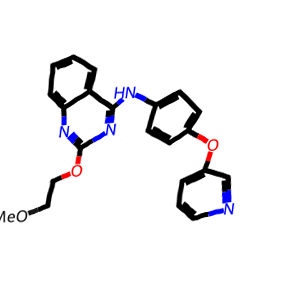 COCCOc1nc(Nc2ccc(Oc3cccnc3)cc2)c2ccccc2n1